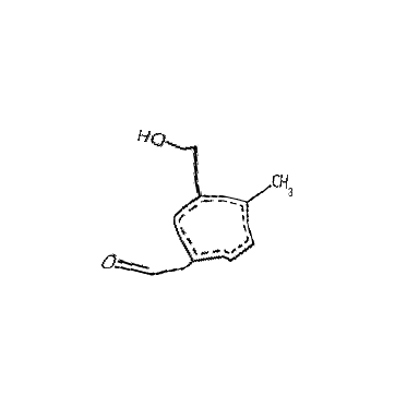 Cc1ccc(C=O)cc1CO